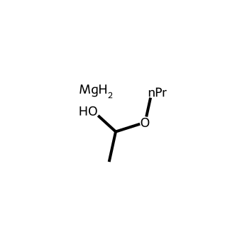 CCCOC(C)O.[MgH2]